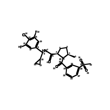 C[C@@H]1CC[C@H](C(=O)N[C@@H](c2cc(F)c(Cl)c(F)c2)C2CC2)N1C(=O)c1cccc(S(C)(=O)=O)c1